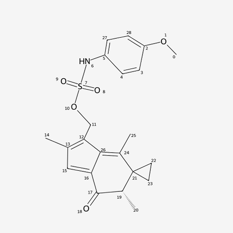 COc1ccc(NS(=O)(=O)OCC2=C(C)C=C3C(=O)[C@@H](C)C4(CC4)C(C)=C32)cc1